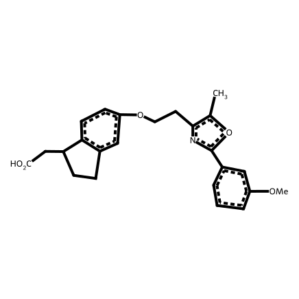 COc1cccc(-c2nc(CCOc3ccc4c(c3)CCC4CC(=O)O)c(C)o2)c1